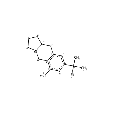 CCC(C)(C)c1nc2c(c(C(C)(C)C)n1)CC1CCCC1C2